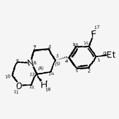 CCc1ccc([C@H]2CCN3CCOC[C@H]3C2)cc1F